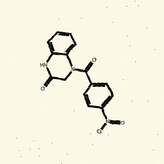 O=C1CN(C(=O)c2ccc([N+](=O)[O-])cc2)c2ccccc2N1